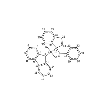 CC(C)(C1c2ccccc2-c2ccccc21)C1(Cc2ccccc2)C=Cc2ccccc21